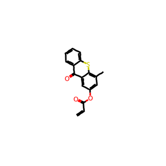 C=CC(=O)Oc1cc(C)c2sc3ccccc3c(=O)c2c1